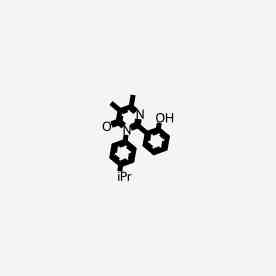 Cc1nc(-c2ccccc2O)n(-c2ccc(C(C)C)cc2)c(=O)c1C